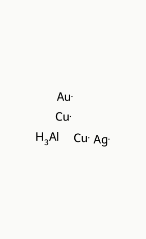 [Ag].[AlH3].[Au].[Cu].[Cu]